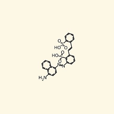 Nc1ccc(N=Nc2cccc(C=Cc3ccccc3S(=O)(=O)O)c2S(=O)(=O)O)c2ccccc12